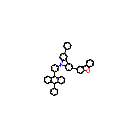 c1ccc(-c2ccc3c(c2)c2cc(-c4ccc5oc6ccccc6c5c4)ccc2n3-c2cccc(-c3c4ccccc4c(-c4ccccc4)c4ccccc34)c2)cc1